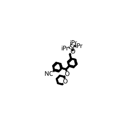 CC(C)[Si](OCc1cccc(C(OC2CCCCO2)c2cccc(C#N)c2)c1)(C(C)C)C(C)C